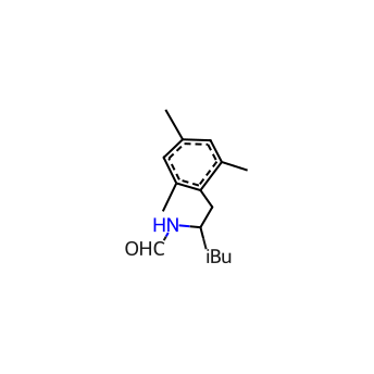 CCC(C)C(Cc1c(C)cc(C)cc1C)NC=O